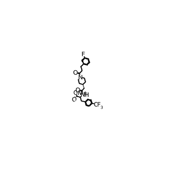 COC(=O)C(Cc1ccc(C(F)(F)F)cc1)NC(=O)CC1CCN(C(=O)CCc2cccc(F)c2)CC1